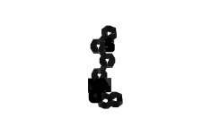 c1cc(-c2ccc3nc4oc5ccc6ccccc6c5c4nc3c2)cc(-c2cccc3c2sc2ccccc23)c1